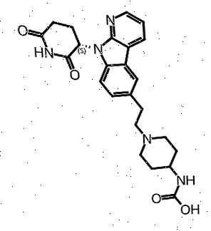 O=C(O)NC1CCN(CCc2ccc3c(c2)c2cccnc2n3[C@H]2CCC(=O)NC2=O)CC1